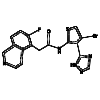 O=C(Cc1c(F)ccc2cnccc12)Nc1scc(Br)c1-c1ncn[nH]1